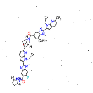 COc1cc(C(=O)N2C[C@H]3C(c4ccc5cc(-c6nc7cc(C(=O)N8C[C@H]9CC[C@@H]8[C@@H]9N)c(F)cc7n6C)n(CC6CC6)c5n4)C4C[C@@H]2[C@H]43)cc2nc(-c3cc4ccc(C(F)(F)F)nc4n3CC3CC3)n(C)c12